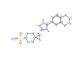 NS(=O)(=O)N1CCC2(CC1)C[C@H]2c1noc(-c2ccc3c(c2)CCCC3)n1